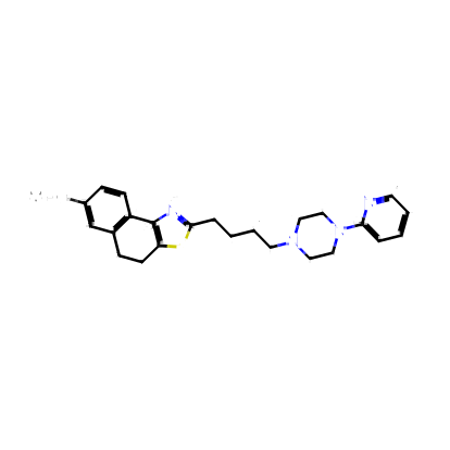 COc1ccc2c(c1)CCc1sc(CCCCN3CCN(c4ccccn4)CC3)nc1-2